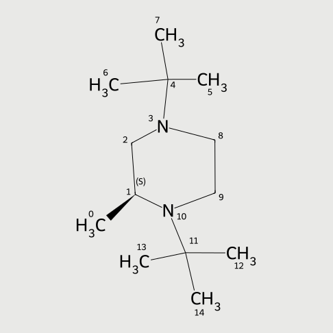 C[C@H]1CN(C(C)(C)C)CCN1C(C)(C)C